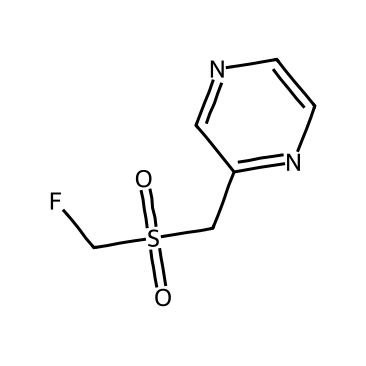 O=S(=O)(CF)Cc1cnccn1